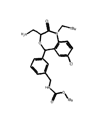 CC(C)(C)CN1C(=O)C(CN)OC(c2cccc(CNC(=O)OC(C)(C)C)c2)c2cc(Cl)ccc21